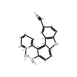 Cc1ccc2oc3ccc(C#N)cc3c2c1-c1cccc[n+]1C